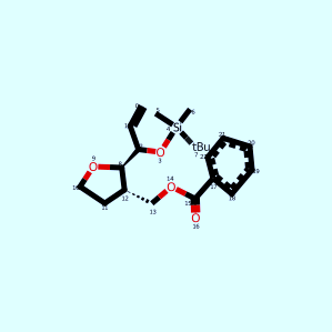 C=CC(O[Si](C)(C)C(C)(C)C)[C@@H]1OCC[C@H]1COC(=O)c1ccccc1